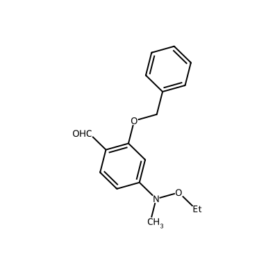 CCON(C)c1ccc(C=O)c(OCc2ccccc2)c1